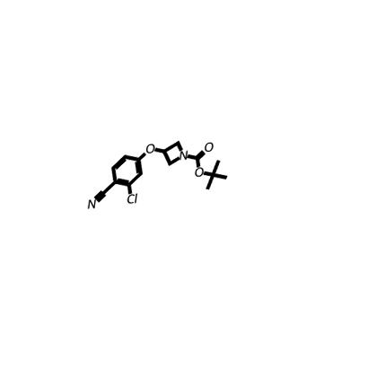 CC(C)(C)OC(=O)N1CC(Oc2ccc(C#N)c(Cl)c2)C1